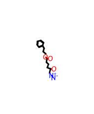 [N-]=[N+]=CC(=O)CCCC(=O)OCCCc1ccccc1